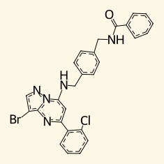 O=C(NCc1ccc(CNc2cc(-c3ccccc3Cl)nc3c(Br)cnn23)cc1)c1ccccc1